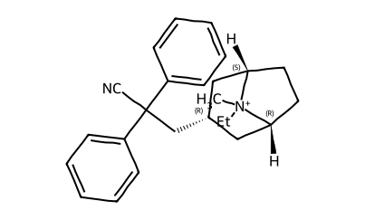 CC[N+]1(C)[C@@H]2CC[C@H]1C[C@@H](CC(C#N)(c1ccccc1)c1ccccc1)C2